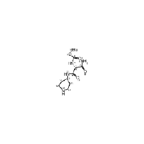 CC(C)(C)OC(=O)N[C@H](C(N)=O)C(=O)NC1CCNCC1